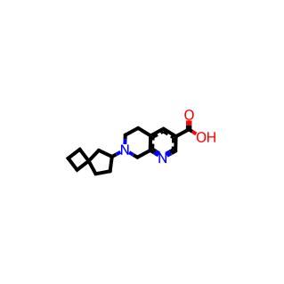 O=C(O)c1cnc2c(c1)CCN(C1CCC3(CCC3)C1)C2